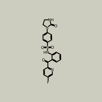 O=C(c1ccc(F)cn1)c1ccccc1NS(=O)(=O)c1ccc(N2CCNC2=O)cc1